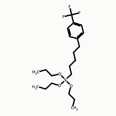 CCCO[Si](CCCCCc1ccc(C(F)(F)F)cc1)(OCCC)OCCC